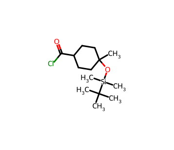 CC1(O[Si](C)(C)C(C)(C)C)CCC(C(=O)Cl)CC1